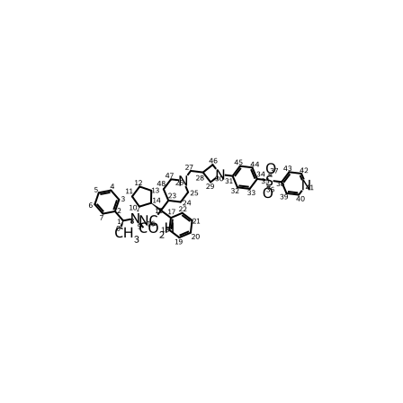 C[C@@H](c1ccccc1)N(C(=O)O)[C@@H]1CCC[C@H]1C(C#N)(c1ccccc1)C1CCN(CC2CN(c3ccc(S(=O)(=O)c4ccncc4)cc3)C2)CC1